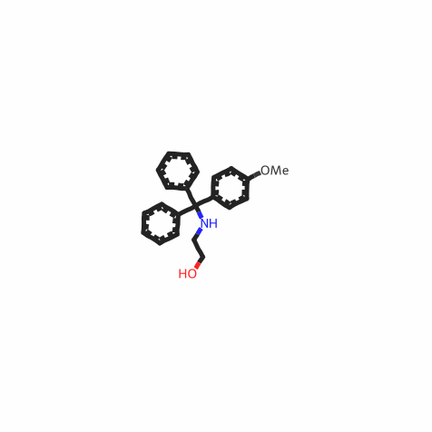 COc1ccc(C(NCCO)(c2ccccc2)c2ccccc2)cc1